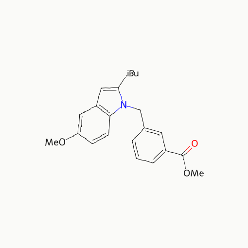 CCC(C)c1cc2cc(OC)ccc2n1Cc1cccc(C(=O)OC)c1